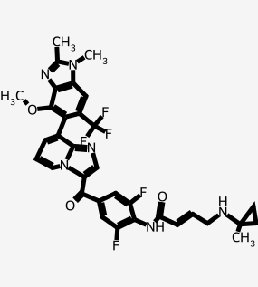 COc1c(-c2cccn3c(C(=O)c4cc(F)c(NC(=O)/C=C/CNC5(C)CC5)c(F)c4)cnc23)c(C(F)(F)F)cc2c1nc(C)n2C